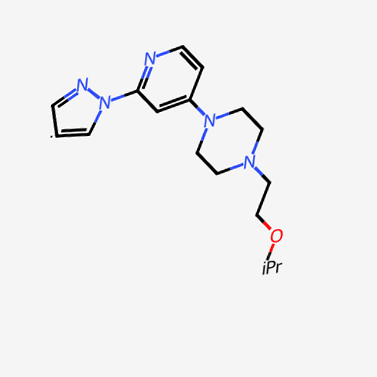 CC(C)OCCN1CCN(c2ccnc(-n3c[c]cn3)c2)CC1